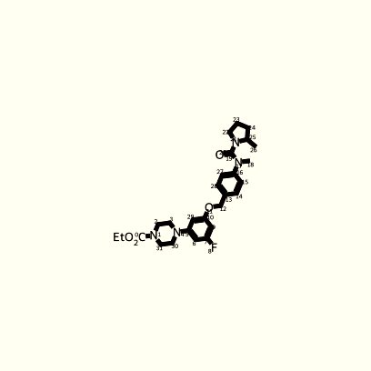 CCOC(=O)N1CCN(c2cc(F)cc(OCc3ccc(N(C)C(=O)N4CCCC4C)cc3)c2)CC1